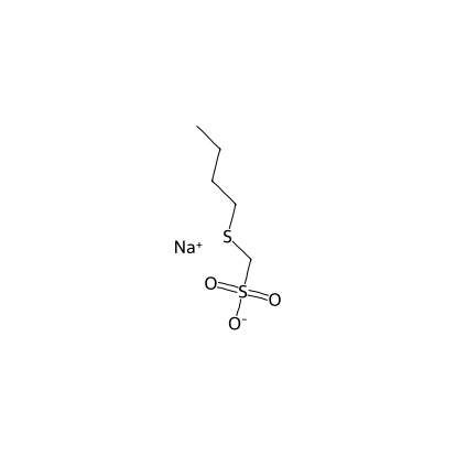 CCCCSCS(=O)(=O)[O-].[Na+]